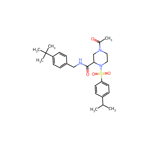 CC(=O)N1CCN(S(=O)(=O)c2ccc(C(C)C)cc2)C(C(=O)NCc2ccc(C(C)(C)C)cc2)C1